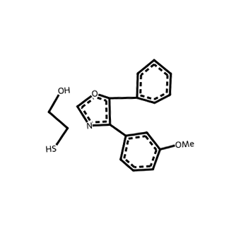 COc1cccc(-c2ncoc2-c2ccccc2)c1.OCCS